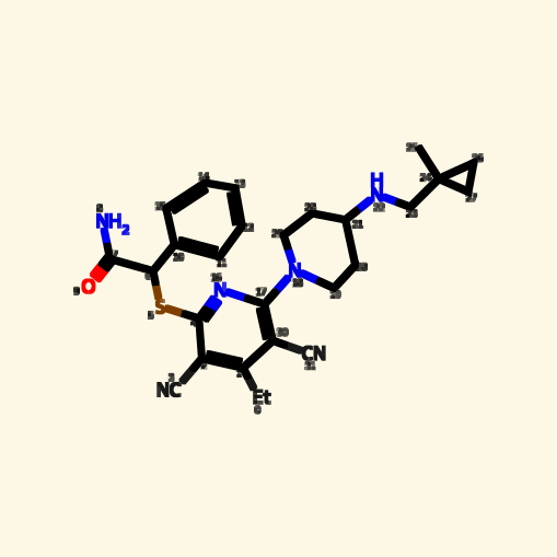 CCc1c(C#N)c(SC(C(N)=O)c2ccccc2)nc(N2CCC(NCC3(C)CC3)CC2)c1C#N